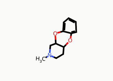 CN1CCC2Oc3ccccc3OC2C1